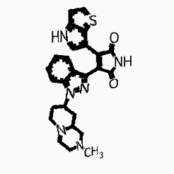 CN1CCN2CCC(n3nc(C4=C(c5c[nH]c6ccsc56)C(=O)NC4=O)c4ccccc43)CC2C1